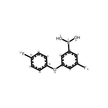 OB(O)c1cc(F)cc(Oc2ccc(F)cc2)c1